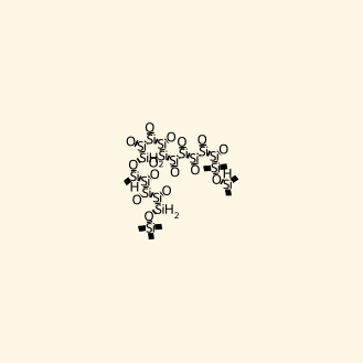 C[SiH](C)O[Si](C)(C)[Si](=O)[Si](=O)[Si](=O)[Si](=O)[Si](=O)[Si](=O)[Si](=O)[Si](=O)[Si](=O)[SiH2]O[SiH](C)[Si](=O)[Si](=O)[Si](=O)[SiH2]O[Si](C)(C)C